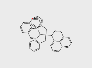 C1=CC(C(Cc2ccccc2)(Cc2ccccc2)C2C=Cc3cccc4cccc2c34)c2cccc3cccc1c23